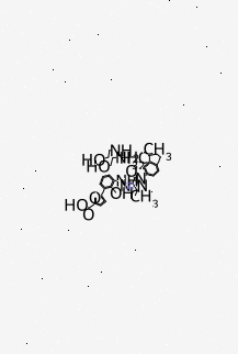 CC1=NN(c2ccc3c(c2)C(C)(C)CC3)C(=O)/C1=N\Nc1cccc(-c2ccc(C(=O)O)o2)c1O.NCCO.NCCO